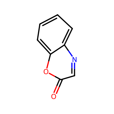 O=c1cnc2ccccc2o1